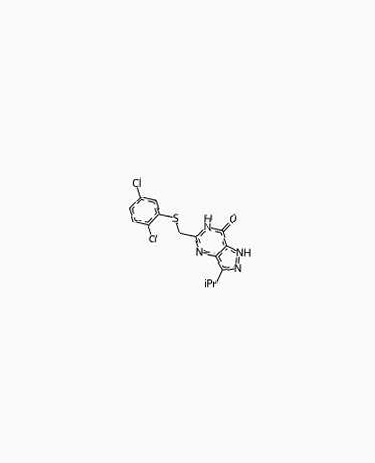 CC(C)c1n[nH]c2c(=O)[nH]c(CSc3cc(Cl)ccc3Cl)nc12